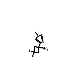 Cn1cc(C2(N)CC(F)(F)C2)nn1